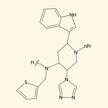 CCCN1CC(n2cnnc2)C(N(C)Cc2cccs2)CC1c1c[nH]c2ccccc12